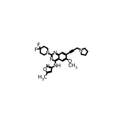 COc1cc2c(Nc3cc(C)on3)nc(N3CCC(F)(F)CC3)nc2cc1C#CCN1CCCC1